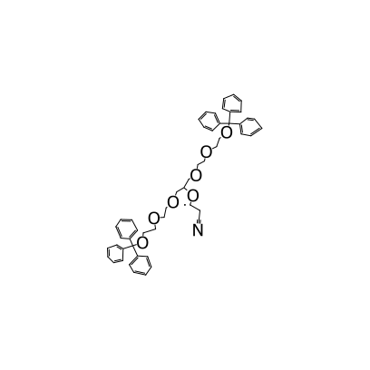 N#CC[CH]OC(COCCOCCOC(c1ccccc1)(c1ccccc1)c1ccccc1)COCCOCCOC(c1ccccc1)(c1ccccc1)c1ccccc1